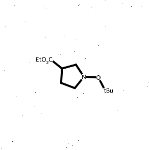 CCOC(=O)C1CCN(OC(C)(C)C)C1